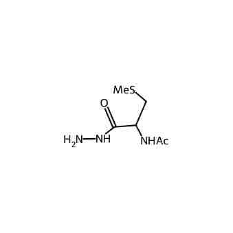 CSCC(NC(C)=O)C(=O)NN